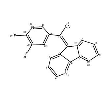 N#CC(=C1c2cccnc2-c2ncccc21)c1cnc(F)c(F)c1